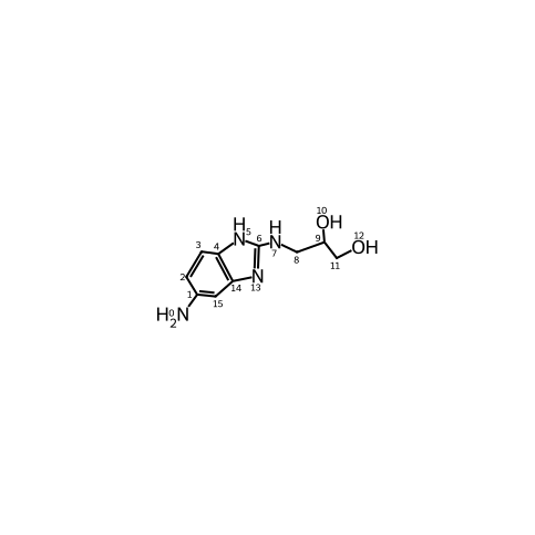 Nc1ccc2[nH]c(NCC(O)CO)nc2c1